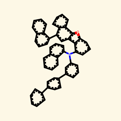 c1ccc(-c2ccc(-c3cccc(N(c4cccc5ccccc45)c4cccc5oc6c7ccccc7c(-c7cccc8ccccc78)cc6c45)c3)cc2)cc1